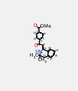 COC(=O)c1ccc(C(=O)C=C2NC(C)(C)Cc3ccccc32)cc1